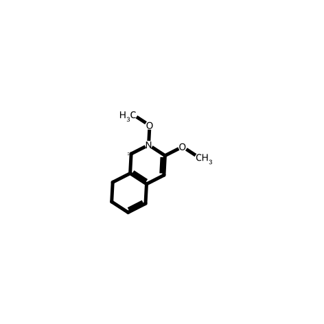 COC1=CC2=C([C]N1OC)CCC=C2